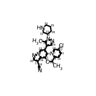 Cc1c(-c2cc(O[C@H](C)c3ccc(Cl)cn3)c3c(C#N)cnn3c2)cnn1[C@H]1CCCNC1